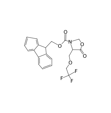 O=C1OCN(C(=O)OCC2c3ccccc3-c3ccccc32)C1COCC(F)(F)F